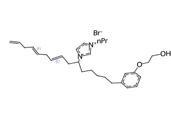 C=CC/C=C/C/C=C/CC(CCCCCc1cccc(OCCO)c1)n1cc[n+](CCC)c1.[Br-]